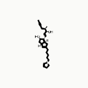 CC#CC[C@@H](C)[C@H](O)/C=C/[C@@H]1[C@H]2CC(CCCCCN3CCCC3)=C[C@H]2C[C@H]1O